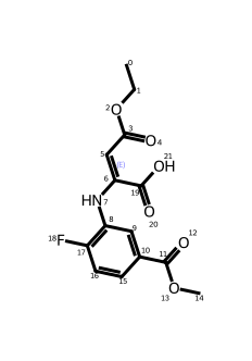 CCOC(=O)/C=C(/Nc1cc(C(=O)OC)ccc1F)C(=O)O